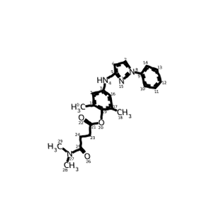 Cc1cc(Nc2ccn(-c3ccccc3)n2)cc(C)c1OC(=O)CCC(=O)N(C)C